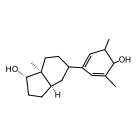 CC1=CC(C2CC[C@@]3(C)[C@H](CC[C@@H]3O)C2)=CC(C)C1O